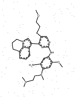 COCCCc1cnc(Nc2cc(N)c(N(C)CCN(C)C)cc2OC)nc1-c1cn2c3c(cccc13)CCC2